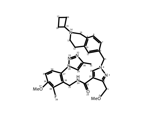 COCc1nn(Cc2ccc3c(c2)CCN(C2CCC2)C3)cc1C(=O)NCc1c(-n2cc(C)nn2)ccc(OC)c1F